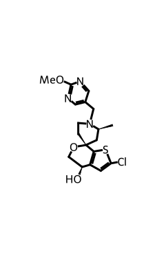 COc1ncc(CN2CC[C@]3(C[C@@H]2C)OC[C@H](O)c2cc(Cl)sc23)cn1